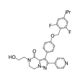 CC(C)c1cc(F)c(COc2ccc(-c3c(-c4ccncc4)nn4c3C(=O)N(CCO)CC4)cc2)c(F)c1